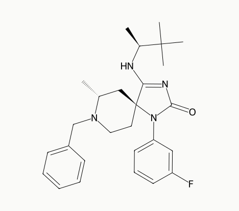 C[C@@H]1C[C@@]2(CCN1Cc1ccccc1)C(N[C@@H](C)C(C)(C)C)=NC(=O)N2c1cccc(F)c1